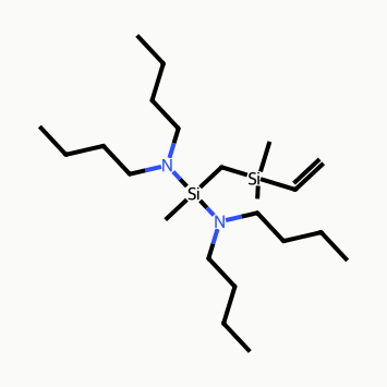 C=C[Si](C)(C)C[Si](C)(N(CCCC)CCCC)N(CCCC)CCCC